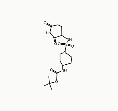 CC(C)(C)OC(=O)NC1CCN(S(=O)(=O)NC2CCC(=O)NC2=O)CC1